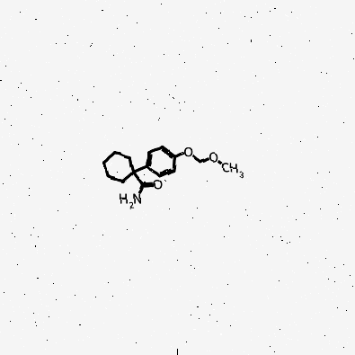 COCOc1ccc(C2(C(N)=O)CCCCC2)cc1